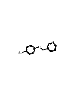 CC(C)(C)c1ccc(OCc2cccnc2)cc1